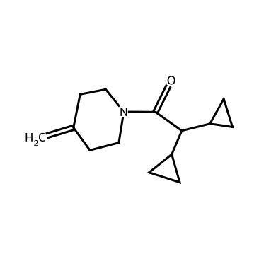 C=C1CCN(C(=O)C(C2CC2)C2CC2)CC1